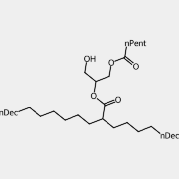 CCCCCCCCCCCCCCCCC(CCCCCCCCCCCCCC)C(=O)OC(CO)COC(=O)CCCCC